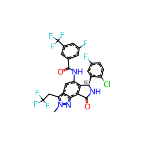 Cn1nc2c3c(c(NC(=O)c4cc(F)cc(C(F)(F)F)c4)cc2c1CC(F)(F)F)[C@@H](c1cc(F)ccc1Cl)NC3=O